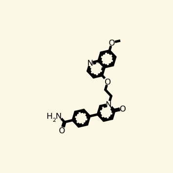 COc1ccc2c(OCCn3cc(-c4ccc(C(N)=O)cc4)ccc3=O)ccnc2c1